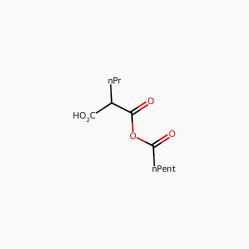 CCCCCC(=O)OC(=O)C(CCC)C(=O)O